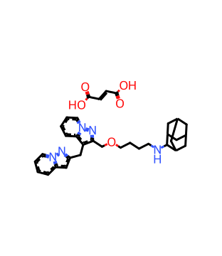 O=C(O)C=CC(=O)O.c1ccn2nc(Cc3c(COCCCCNC4C5CC6CC(C5)CC4C6)nn4ccccc34)cc2c1